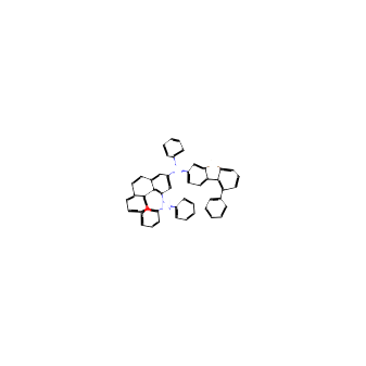 c1ccc(-c2cccc3sc4cc(N(c5ccccc5)c5cc(N(c6ccccc6)c6ccccc6)c6c(ccc7ccccc76)c5)ccc4c23)cc1